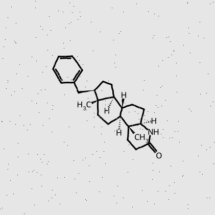 C[C@]12CCC(=O)N[C@@H]1CC[C@@H]1[C@@H]2CC[C@]2(C)[C@@H](Cc3ccccc3)CC[C@@H]12